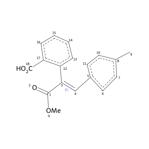 COC(=O)/C(=C/c1ccc(C)cc1)c1ccccc1C(=O)O